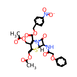 CC(=O)OC=C1S[C@H]2C(NC(=O)COc3ccccc3)C(=O)N2C(C(=O)OCc2ccc([N+](=O)[O-])cc2)=C1COC(C)=O